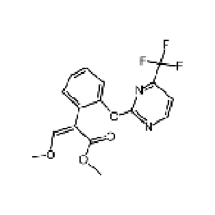 CO/C=C(\C(=O)OC)c1ccccc1Oc1nccc(C(F)(F)F)n1